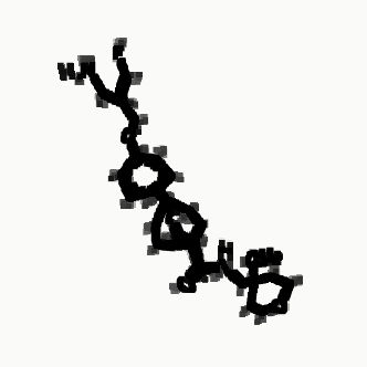 COC1(CNC(=O)C23CCC(c4ccc(OCC(=CF)CN)cc4)(CC2)CC3)CCOCC1